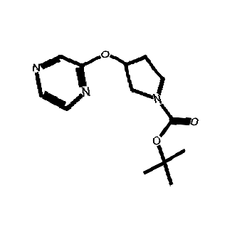 CC(C)(C)OC(=O)N1CCC(Oc2cnccn2)C1